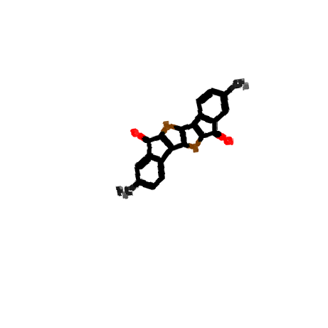 O=c1c2cc(C(F)(F)F)ccc2c2c1sc1c2sc2c(=O)c3cc(C(F)(F)F)ccc3c21